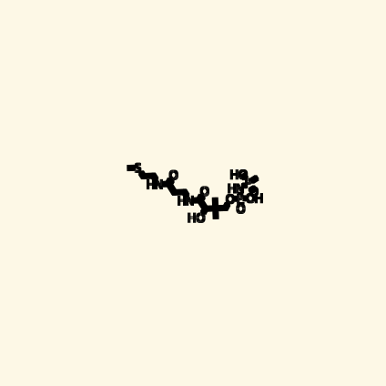 CSCCNC(=O)CCNC(=O)C(O)C(C)(C)COP(=O)(O)NP(C)(=O)O